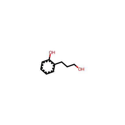 OCCCc1[c]cccc1O